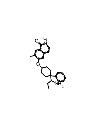 CCC(N)[C@]1(c2ccccc2)CC[C@H](Oc2cc3cc[nH]c(=O)c3cc2C)CC1